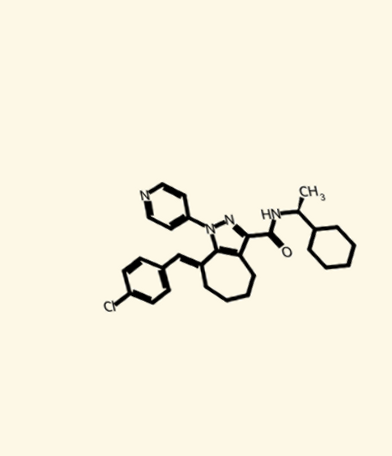 C[C@H](NC(=O)c1nn(-c2ccncc2)c2c1CCCC/C2=C\c1ccc(Cl)cc1)C1CCCCC1